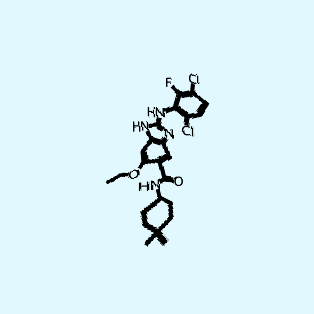 CCOc1cc2[nH]c(Nc3c(Cl)ccc(Cl)c3F)nc2cc1C(=O)NC1CCC(C)(C)CC1